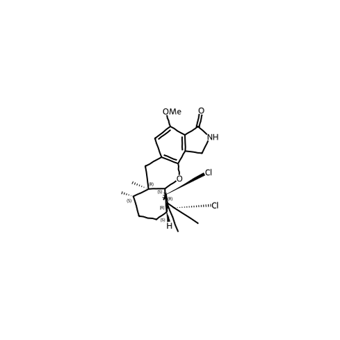 COc1cc2c(c3c1C(=O)NC3)O[C@@]13C[C@@H](Cl)[C@H](Cl)C(C)(C)[C@@H]1CC[C@H](C)[C@@]3(C)C2